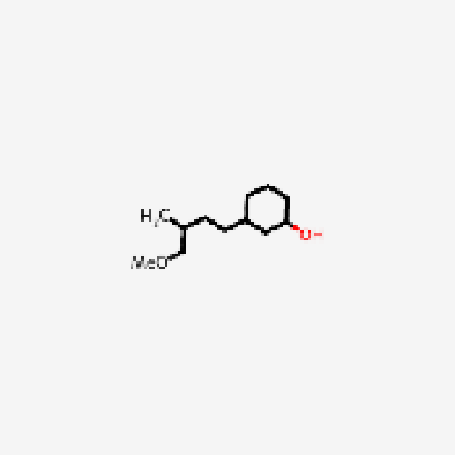 COCC(C)CCC1CCCC(O)C1